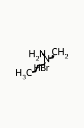 Br.C=CN(N)CCCC